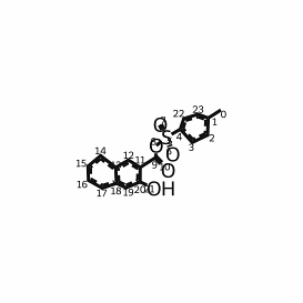 Cc1ccc(S(=O)(=O)OC(=O)c2cc3ccccc3cc2O)cc1